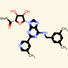 CNC(=O)[C@H]1O[C@@H](n2cnc3c(NCc4cc(C)cc(C)c4)nc(-c4cncc(C)c4)nc32)[C@H](O)[C@@H]1O